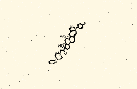 C[C@]12Cc3cnn(-c4ccc(F)cc4)c3C=C1CCC1C2[C@@H](O)C[C@@]2(C)C1CC[C@]2(O)C(=O)CN1CCN(c2ccccn2)CC1